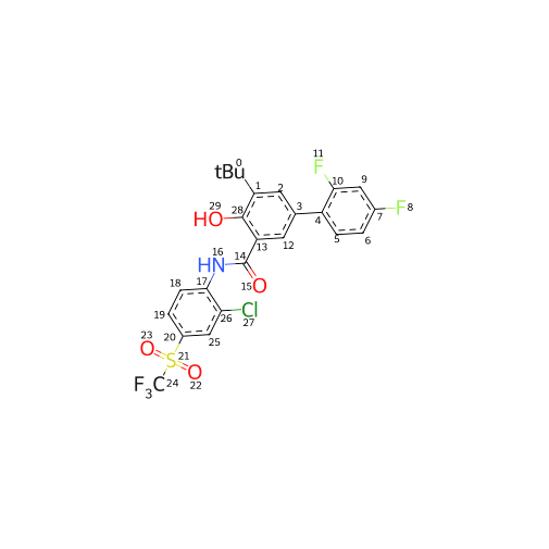 CC(C)(C)c1cc(-c2ccc(F)cc2F)cc(C(=O)Nc2ccc(S(=O)(=O)C(F)(F)F)cc2Cl)c1O